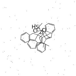 C[SiH](C)[Zr]([Cl])([Cl])([C]1(Cc2ccccc2)C(C(C)(C)C)=Cc2ccccc21)[C]1(Cc2ccccc2)C(C(C)(C)C)=Cc2ccccc21